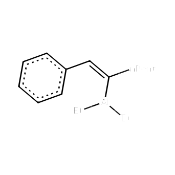 CCCCC[C](=Cc1ccccc1)[Al]([CH2]C)[CH2]C